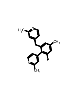 Cc1cc(F)c(-c2ccnc(C)c2)c(Cc2ccnc(C)c2)c1